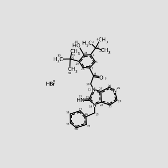 Br.CC(C)(C)c1cc(C(=O)Cn2c(=N)n(Cc3ccccc3)c3ccncc32)cc(C(C)(C)C)c1O